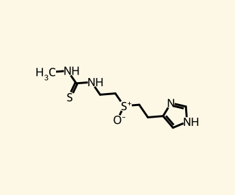 CNC(=S)NCC[S+]([O-])CCc1c[nH]cn1